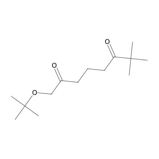 CC(C)(C)OCC(=O)CCCC(=O)C(C)(C)C